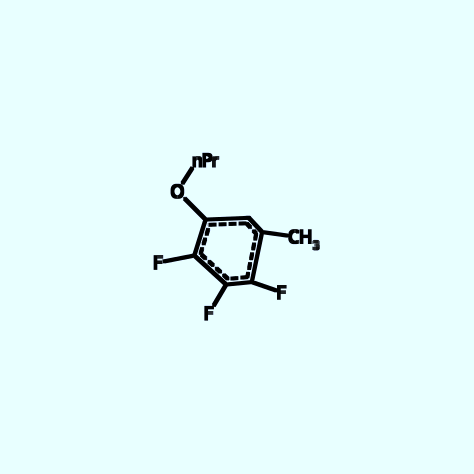 [CH2]CCOc1cc(C)c(F)c(F)c1F